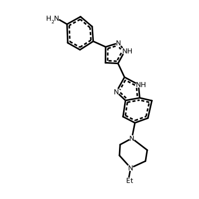 CCN1CCN(c2ccc3[nH]c(-c4cc(-c5ccc(N)cc5)n[nH]4)nc3c2)CC1